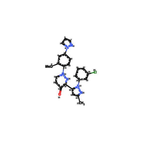 COc1cc(-n2cccn2)ccc1-n1ccc(=O)c(-c2cc(C)nn2-c2cccc(Cl)c2)n1